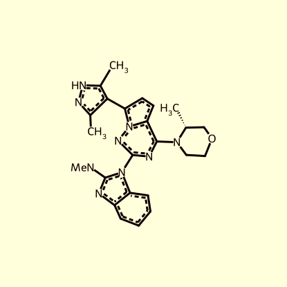 CNc1nc2ccccc2n1-c1nc(N2CCOC[C@H]2C)c2ccc(-c3c(C)n[nH]c3C)n2n1